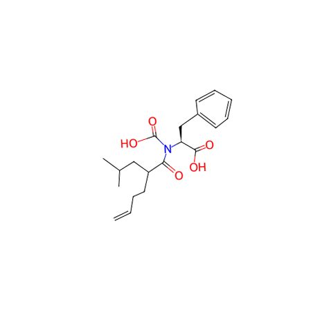 C=CCCC(CC(C)C)C(=O)N(C(=O)O)[C@@H](Cc1ccccc1)C(=O)O